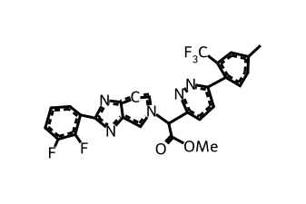 COC(=O)C(c1ccc(-c2ccc(C)cc2C(F)(F)F)nn1)n1ccc2nc(-c3cccc(F)c3F)nc-2c1